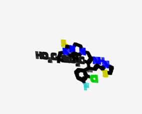 CCOC(=O)C1=C(CN2CCN3C(=S)N(CC(C)(C)C(=O)O)C[C@H]3C2)NC(c2nccs2)=C[C@H]1c1cccc(F)c1Cl